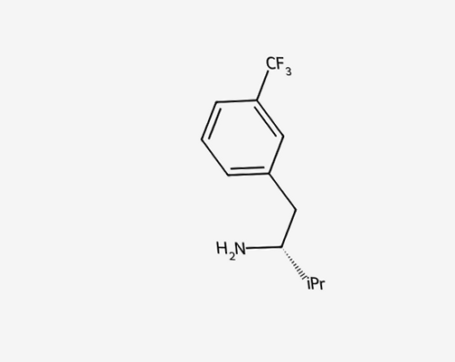 CC(C)[C@H](N)Cc1cccc(C(F)(F)F)c1